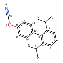 CC(C)c1cccc(C(C)C)c1-c1ccc(OC#N)cc1